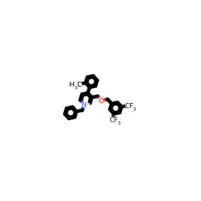 Cc1ccccc1-c1cc[n+](Cc2ccccc2)cc1COCc1cc(C(F)(F)F)cc(C(F)(F)F)c1